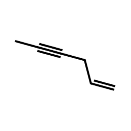 C=CCC#CC